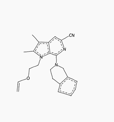 C=COCCn1c(C)c(C)c2cc(C#N)nc(N3CCc4ccccc4C3)c21